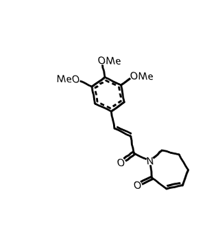 COc1cc(C=CC(=O)N2CCCC=CC2=O)cc(OC)c1OC